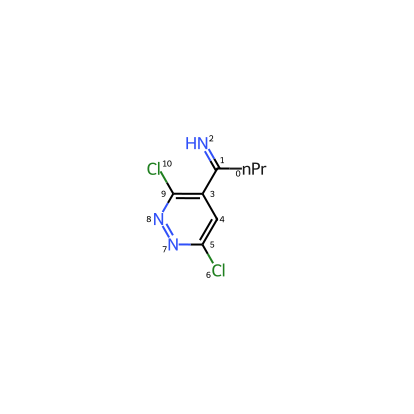 CCCC(=N)c1cc(Cl)nnc1Cl